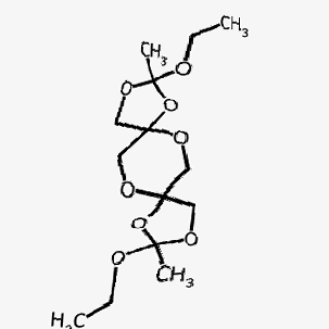 CCOC1(C)OCC2(COC3(CO2)COC(C)(OCC)O3)O1